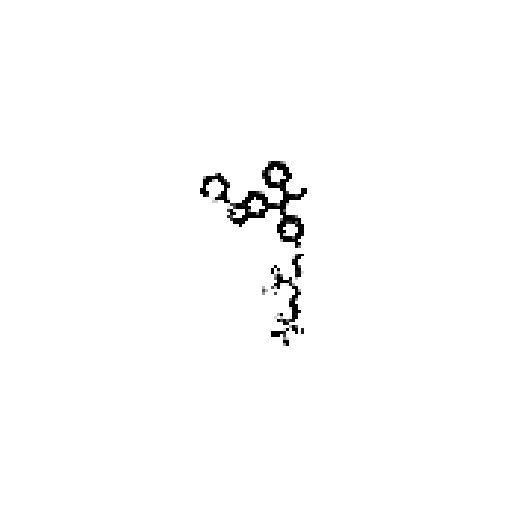 CCC(=C(c1ccc(OCCN(CC=CS(=O)(=O)N(C)C)C(=O)O)cc1)c1ccc2c(cnn2C2CCCCO2)c1)c1ccccc1